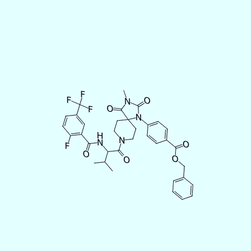 CC(C)C(NC(=O)c1cc(C(F)(F)F)ccc1F)C(=O)N1CCC2(CC1)C(=O)N(C)C(=O)N2c1ccc(C(=O)OCc2ccccc2)cc1